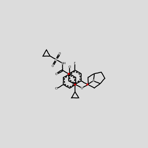 O=C(NS(=O)(=O)C1CC1)c1cc(C2CC2)c(CN2C3CCC2CC(Oc2cc(Cl)cc(Cl)c2)C3)cc1F